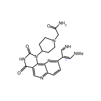 CN/C=C(\C=N)c1ccc2ncc3c(=O)[nH]c(=O)n(C4CCN(CC(N)=O)CC4)c3c2n1